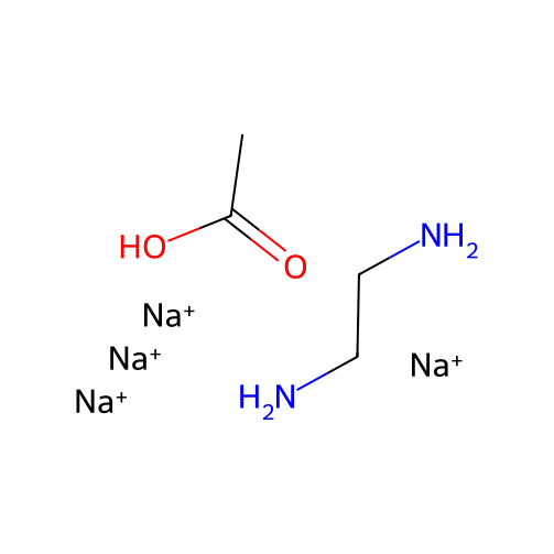 CC(=O)O.NCCN.[Na+].[Na+].[Na+].[Na+]